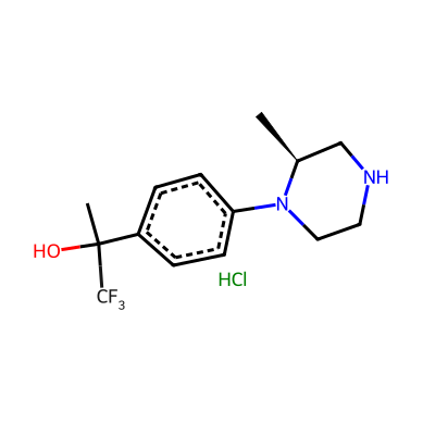 C[C@H]1CNCCN1c1ccc(C(C)(O)C(F)(F)F)cc1.Cl